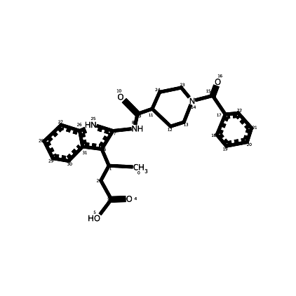 CC(CC(=O)O)c1c(NC(=O)C2CCN(C(=O)c3ccccc3)CC2)[nH]c2ccccc12